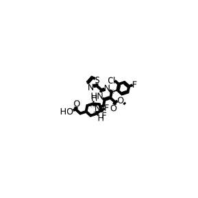 COC(=O)C1=C(CN2[C@@H]3CC(CC(=O)O)C[C@H]2C(F)(F)C3)NC(c2nccs2)=N[C@H]1c1ccc(F)cc1Cl